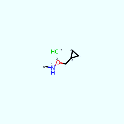 CNOCC1CC1.Cl